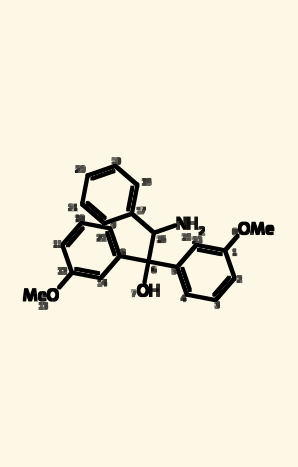 COc1cccc(C(O)(c2cccc(OC)c2)C(N)c2ccccc2)c1